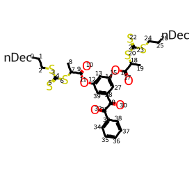 CCCCCCCCCCCCSC(=S)SC(C)C(=O)Oc1cc(OC(=O)C(C)SC(=S)SCCCCCCCCCCCC)cc(C(=O)C(=O)c2ccccc2)c1